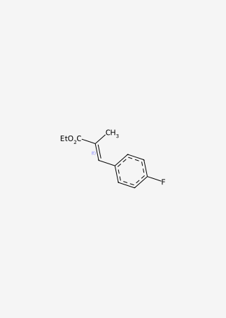 CCOC(=O)/C(C)=C/c1ccc(F)cc1